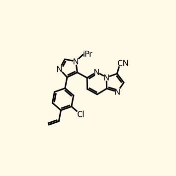 C=Cc1ccc(-c2ncn(C(C)C)c2-c2ccc3ncc(C#N)n3n2)cc1Cl